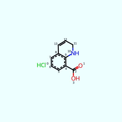 Cl.O=C(O)c1cccc2c1NCC=C2